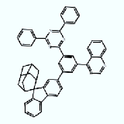 c1ccc(-c2nc(-c3ccccc3)nc(-c3cc(-c4ccc5c(c4)C4(c6ccccc6-5)C5CC6CC(C5)CC4C6)cc(-c4ncnc5ccccc45)c3)n2)cc1